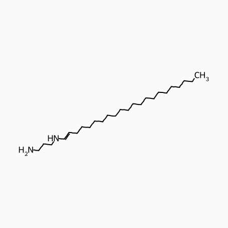 CCCCCCCCCCCCCCCCCCCCC=CNCCCN